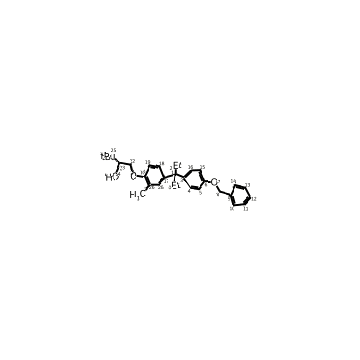 CCC(CC)(c1ccc(OCc2ccccc2)cc1)c1ccc(OCC(O)C(C)(C)C)c(C)c1